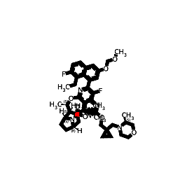 CCc1c(F)ccc2cc(OCOC)cc(-c3nc4c5c(nc(OCC6(CN7CCOC[C@@H]7C)CC6)nc5c3F)N3C[C@H]5CC[C@@H]([C@H]3[C@H](C)O4)N5C(=O)OC(C)(C)C)c12